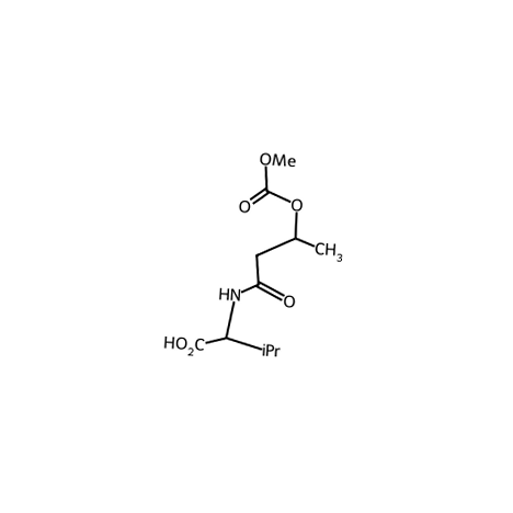 COC(=O)OC(C)CC(=O)NC(C(=O)O)C(C)C